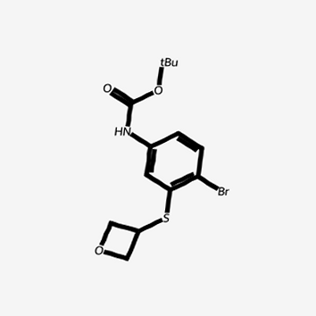 CC(C)(C)OC(=O)Nc1ccc(Br)c(SC2COC2)c1